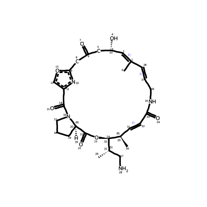 CC1=C\[C@@H](O)CC(=O)Cc2nc(co2)C(=O)N2CCC[C@@H]2C(=O)O[C@H]([C@@H](C)CN)[C@H](C)/C=C/C(=O)NC\C=C\1